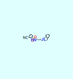 N#Cc1cccc(S(=O)(=O)NCCCCN2CCc3ccccc3C2)c1